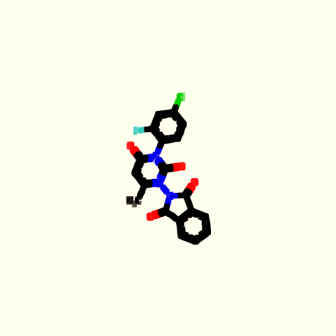 Cc1cc(=O)n(-c2ccc(Cl)cc2F)c(=O)n1N1C(=O)c2ccccc2C1=O